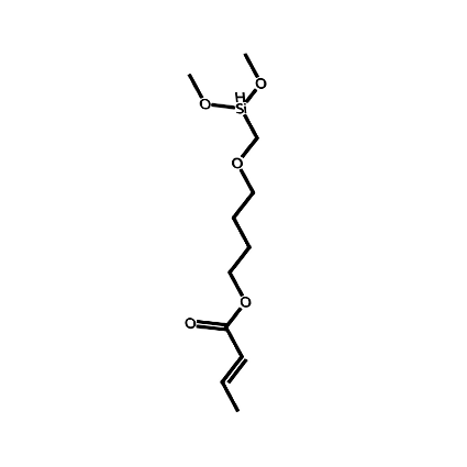 CC=CC(=O)OCCCCOC[SiH](OC)OC